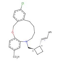 CCC/C=C/[C@@H]1CC[C@H]1CN1CCCCc2cc(Cl)ccc2COc2ccc(C(=O)O)cc21